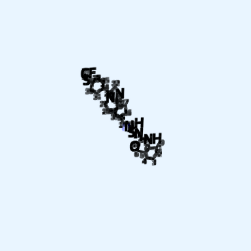 Cc1cccc(C)c1NC(=O)NS/N=C/c1ccc2c(ccn3c(-c4ccc(SC(F)(F)F)cc4)cnc23)c1